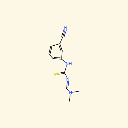 CN(C)C=NC(=S)Nc1cccc(C#N)c1